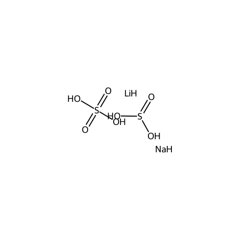 O=S(=O)(O)O.O=S(O)O.[LiH].[NaH]